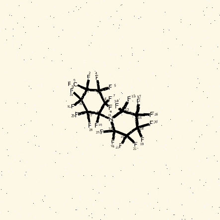 FC(F)(F)C1(F)C(F)(F)C(F)(F)C(F)(N2C(F)(F)C(F)(F)C(F)(F)C(F)(F)C2(F)F)C(F)(F)C1(F)F